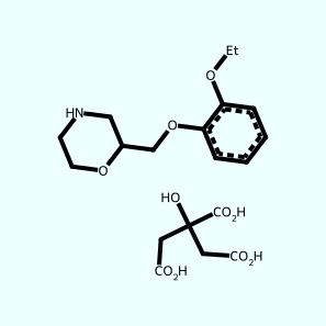 CCOc1ccccc1OCC1CNCCO1.O=C(O)CC(O)(CC(=O)O)C(=O)O